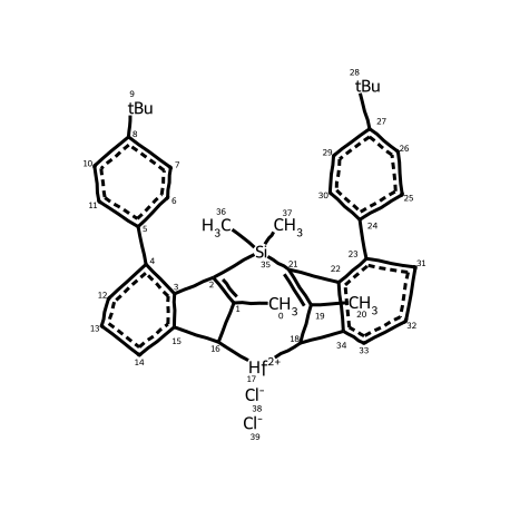 CC1=C2c3c(-c4ccc(C(C)(C)C)cc4)cccc3[CH]1[Hf+2][CH]1C(C)=C(c3c(-c4ccc(C(C)(C)C)cc4)cccc31)[Si]2(C)C.[Cl-].[Cl-]